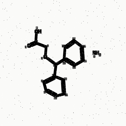 N.O=C(O)COC(c1ccccc1)c1ccccc1